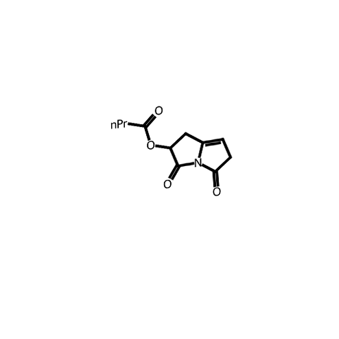 CCCC(=O)OC1CC2=CCC(=O)N2C1=O